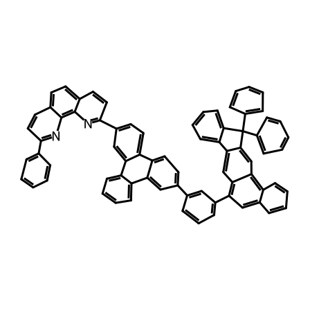 c1ccc(-c2ccc3ccc4ccc(-c5ccc6c7ccc(-c8cccc(-c9cc%10ccccc%10c%10cc%11c(cc9%10)-c9ccccc9C%11(c9ccccc9)c9ccccc9)c8)cc7c7ccccc7c6c5)nc4c3n2)cc1